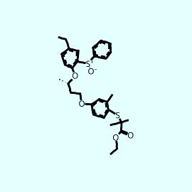 CCOC(=O)C(C)(C)Sc1ccc(OCC[C@H](C)Oc2ccc(CC)cc2[S@+]([O-])c2ccccc2)cc1C